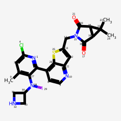 Cc1cc(Cl)nc(-c2ccnc3cc(CN4C(=O)C5C(C4=O)C5(C)C)sc23)c1N(I)C1CNC1